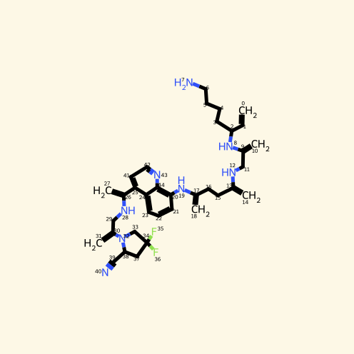 C=CC(CCCCN)NC(=C)CNC(=C)CCC(=C)Nc1cccc2c(C(=C)NCC(=C)N3CC(F)(F)CC3C#N)ccnc12